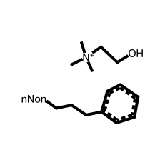 CCCCCCCCCCCCc1ccccc1.C[N+](C)(C)CCO